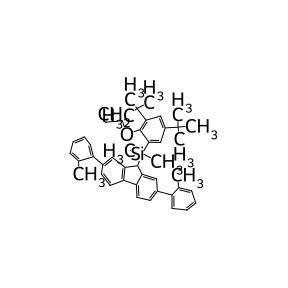 C=CCOc1c(C(C)(C)C)cc(C(C)(C)C)cc1[Si](C)(C)C1c2cc(-c3ccccc3C)ccc2-c2ccc(-c3ccccc3C)cc21